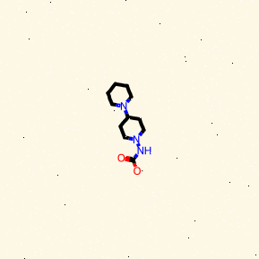 [O]C(=O)NN1CCC(N2CCCCC2)CC1